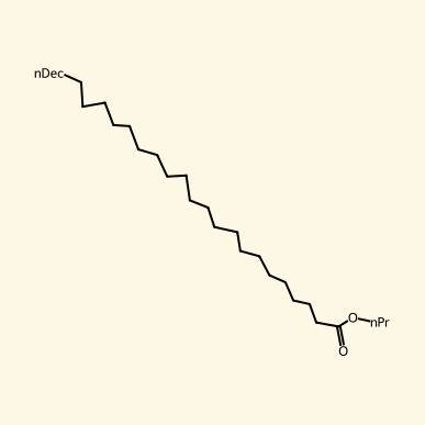 CCCCCCCCCCCCCCCCCCCCCCCCCCCCCCC(=O)OCCC